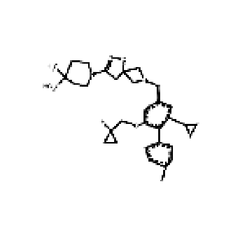 CC1(C(=O)O)CCN(C2=NOC3(C2)CN(Cc2cc(OCC4(F)CC4)c(-c4ccc(F)cc4)c(C4CC4)c2)C3)CC1